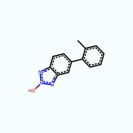 Cc1ccccc1-c1ccc2nn(O)nc2c1